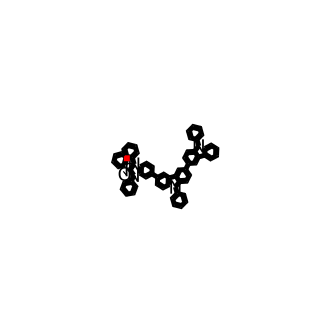 O=P1(c2ccccc2)N(c2ccccc2)c2ccc(-c3ccc4c(c3)c3cc(-c5ccc6c(c5)c5ccccc5n6-c5ccccc5)ccc3n4-c3ccccc3)cc2N1c1ccccc1